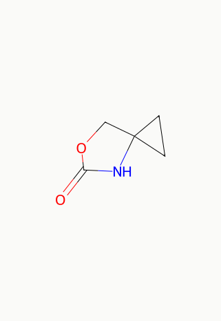 O=C1NC2(CC2)CO1